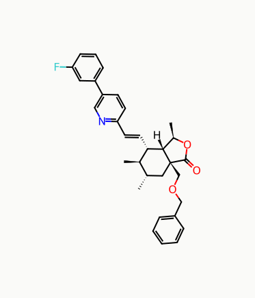 C[C@H]1[C@H](/C=C/c2ccc(-c3cccc(F)c3)cn2)[C@@H]2[C@@H](C)OC(=O)[C@]2(COCc2ccccc2)C[C@@H]1C